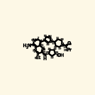 CCc1nc2c(N)ncc(-c3cnn(C4CCN(C(=O)C(C)C)CC4)c3)c2nc1N[C@@H]1CC[C@H](O)C1